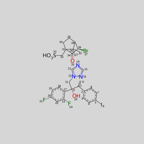 C=C(c1ccc(I)cc1)C(O)(Cn1cncn1)c1ccc(F)cc1F.CC1(C)C2CCC1(CS(=O)(=O)O)C(=O)[C@@H]2Br